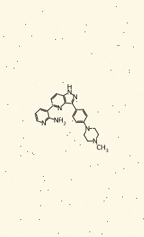 CN1CCN(c2ccc(-c3n[nH]c4ccc(-c5cccnc5N)nc34)cc2)CC1